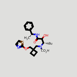 CCCC[C@@H](C(O)C(=O)N[C@H](C)c1ccccc1)N(CC1(COc2nccs2)CCC1)C(=O)O